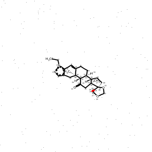 CCn1ncc2c1C=C1CC[C@@H]3[C@H](C(=O)C[C@@]4(C)[C@H]3CC[C@@]43OCOC34COCO4)[C@@]1(C)C2